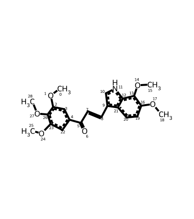 COc1cc(C(=O)C=Cc2c[nH]c3c(OC)c(OC)ccc23)cc(OC)c1OC